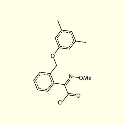 CON=C(C(=O)Cl)c1ccccc1COc1cc(C)cc(C)c1